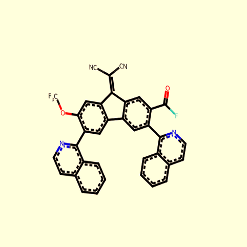 N#CC(C#N)=C1c2cc(OC(F)(F)F)c(-c3nccc4ccccc34)cc2-c2cc(-c3nccc4ccccc34)c(C(=O)F)cc21